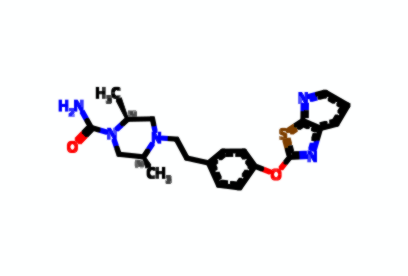 C[C@H]1CN(C(N)=O)[C@@H](C)CN1CCc1ccc(Oc2nc3cccnc3s2)cc1